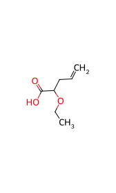 C=CCC(OCC)C(=O)O